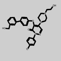 O=c1c(Oc2ccc(-c3cccc(CO)c3)cc2)c(N2CCN(CCO)CC2)cnn1-c1ccc(Cl)cc1